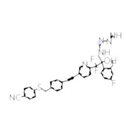 N#Cc1ccc(SCc2ccc(C#Cc3ccc(C(F)(F)C(O)(CN/C=N\N=N)c4ccc(F)cc4F)nc3)cc2)cc1